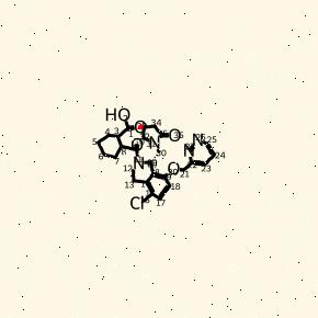 O=C(O)C1CCCCC1C(=O)N1CCc2c(Cl)ccc(OCc3cccnn3)c2[C@H]1CN1CCCC1=O